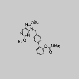 CCCCc1nc2cnc(OCC)nc2n1Cc1ccc(-c2ccccc2OC(=O)OC)cc1